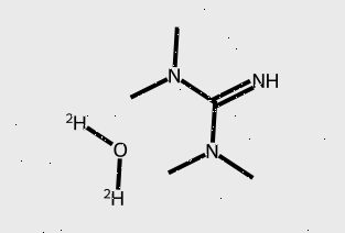 CN(C)C(=N)N(C)C.[2H]O[2H]